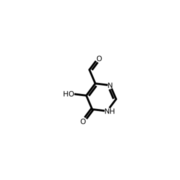 O=Cc1nc[nH]c(=O)c1O